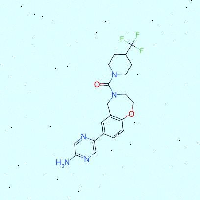 Nc1cnc(-c2ccc3c(c2)CN(C(=O)N2CCC(C(F)(F)F)CC2)CCO3)cn1